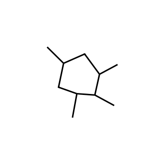 CC1CC(C)C(C)C(C)C1